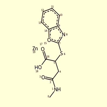 CNC(=O)CC(Sc1nc2ccccc2o1)C(=O)O.[Zn]